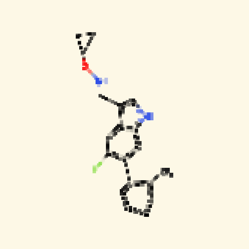 Fc1cc2c(CNOC3CC3)c[nH]c2cc1-c1ccccc1C(F)(F)F